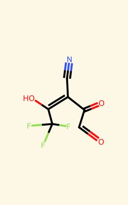 N#CC(C(=O)C=O)=C(O)C(F)(F)F